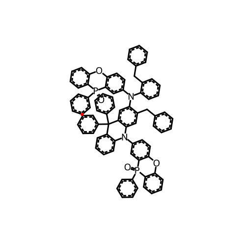 O=P1(c2ccccc2)c2ccccc2Oc2ccc(N(c3ccccc3Cc3ccccc3)c3cc4c(cc3Cc3ccccc3)N(c3ccc5c(c3)P(=O)(c3ccccc3)c3ccccc3O5)c3ccccc3C4(c3ccccc3)c3ccccc3)cc21